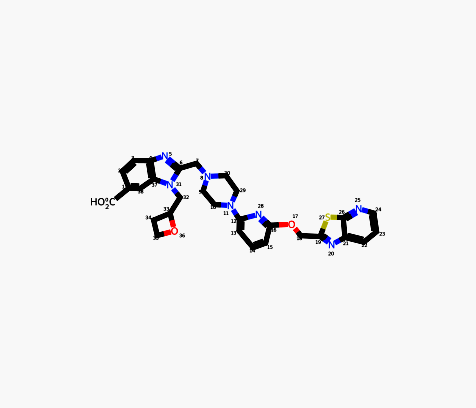 O=C(O)c1ccc2nc(CN3CCN(c4cccc(OCc5nc6cccnc6s5)n4)CC3)n(CC3CCO3)c2c1